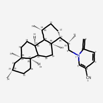 C=C1C=CC(C#N)=CN1C[C@@H](C)[C@H]1CC[C@@H](C)C2[C@@H]3CC[C@]4(C)C[C@@H](C)CC[C@@H]4C3CC[C@@]21C